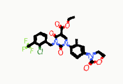 CCOC(=O)c1cn(-c2ccc(N3CCOC3=O)cc2C)c(=O)n(Cc2cccc(C(F)(F)F)c2Cl)c1=O